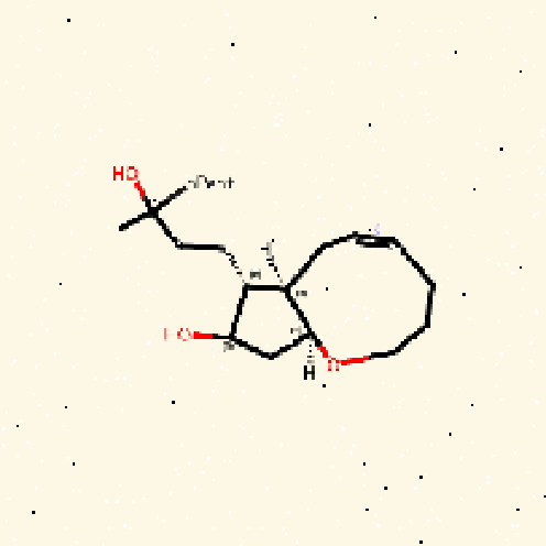 CCCCCC(C)(O)CC[C@@H]1[C@H]2C/C=C\CCCO[C@H]2C[C@H]1O